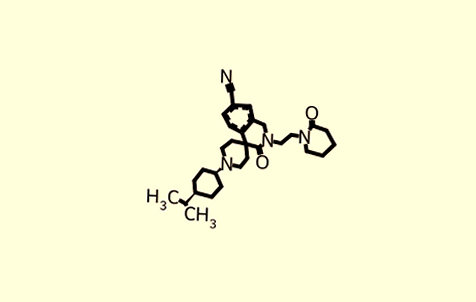 CC(C)[C@H]1CC[C@@H](N2CCC3(CC2)C(=O)N(CCN2CCCCC2=O)Cc2cc(C#N)ccc23)CC1